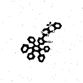 CC(C)(C)c1cc(-c2c(-c3ccccc3)c(-c3ccccc3)c(-c3ccccc3)c(-c3ccccc3)c2-c2ccccc2)ccc1-c1ncc2c(n1)Oc1ccccc1[Si]2(C)C